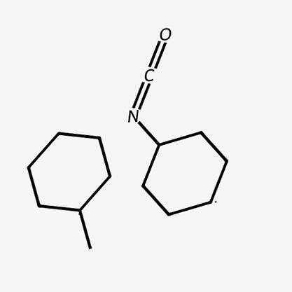 C[C]1CCCCC1.O=C=NC1CC[CH]CC1